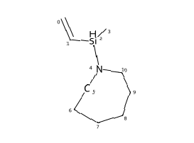 C=C[SiH](C)N1CCCCCC1